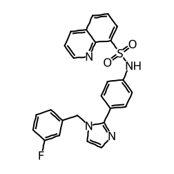 O=S(=O)(Nc1ccc(-c2nccn2Cc2cccc(F)c2)cc1)c1cccc2cccnc12